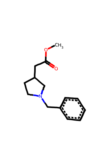 COC(=O)CC1CCN(Cc2ccccc2)C1